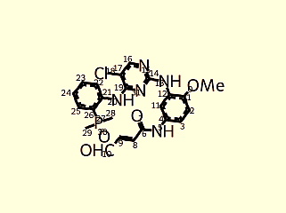 COc1ccc(NC(=O)C=CC=O)cc1Nc1ncc(Cl)c(Nc2ccccc2P(C)(C)=O)n1